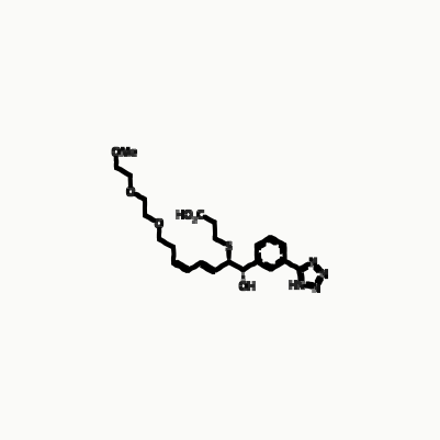 COCCOCCOCC/C=C\C=C\[C@@H](SCCC(=O)O)[C@@H](O)c1cccc(-c2nnn[nH]2)c1